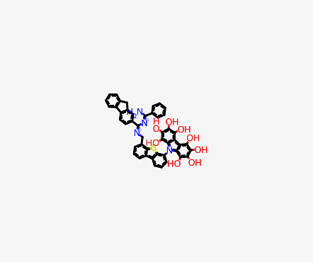 N/C(=N\C(=N/Cc1cccc2c1sc1c(-n3c4c(O)c(O)c(O)c(O)c4c4c(O)c(O)c(O)c(O)c43)cccc12)c1ccc2c(c1)Cc1ccccc1-2)c1ccccc1